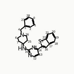 c1ccc(CN2CCC(Nc3nccc(-c4cc5ccccc5s4)n3)CC2)cc1